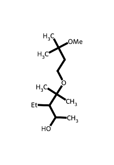 CCC(C(C)O)C(C)(C)OCCC(C)(C)OC